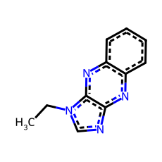 CCn1cnc2nc3ccccc3nc21